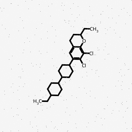 CCC1CCC(C2CCC(c3cc4c(c(Cl)c3Cl)OC(CC)CC4)CC2)CC1